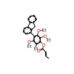 CC=CC(=O)Oc1c(CC)c(OCC)c(-c2cccc3c2Cc2ccccc2-3)c(OCC)c1OCC